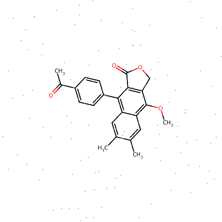 COc1c2c(c(-c3ccc(C(C)=O)cc3)c3cc(C)c(C)cc13)C(=O)OC2